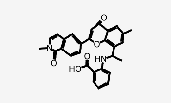 Cc1cc(C(C)Nc2ccccc2C(=O)O)c2oc(-c3ccc4c(=O)n(C)ccc4c3)cc(=O)c2c1